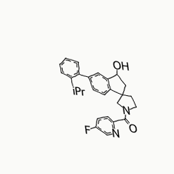 CC(C)c1ccccc1-c1ccc2c(c1)C(O)CC21CCN(C(=O)c2ccc(F)cn2)C1